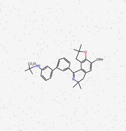 CCOC(=O)C(C)(C)Nc1cccc(-c2cccc(C3=NC(C)(C)Cc4cc(OC)c5c(c43)CC(C)(C)O5)c2)c1